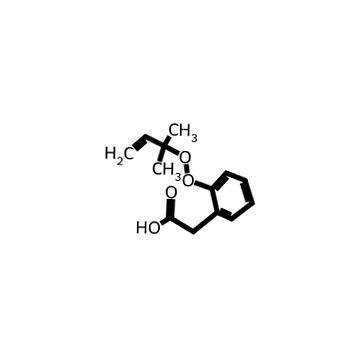 C=CC(C)(C)OOc1ccccc1CC(=O)O